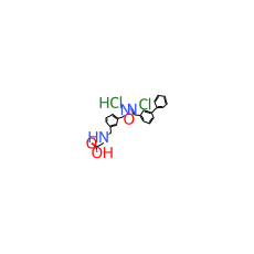 Cl.O=C(O)CNCc1cccc(-c2nnc(-c3cccc(-c4ccccc4)c3Cl)o2)c1